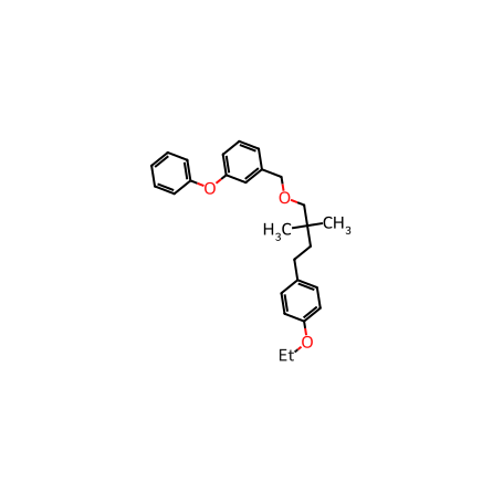 CCOc1ccc(CCC(C)(C)COCc2cccc(Oc3ccccc3)c2)cc1